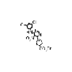 CCOC(=O)C1CCN(c2ncnc(Nc3cc(Cl)cc(Cl)c3)c2[N+](=O)[O-])CC1